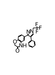 O=C1COc2ccc(-c3nn(CC(F)(F)F)cc3-c3ccccc3)cc2N1